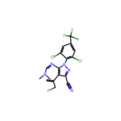 C=C(CF)c1c(C#N)nn(-c2c(Cl)cc(C(F)(F)F)cc2Cl)c1/N=C\N(C)C